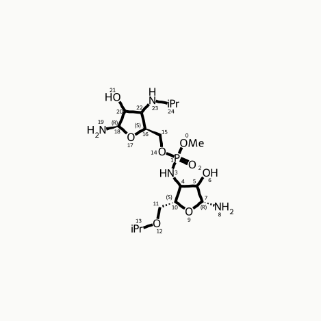 COP(=O)(NC1C(O)[C@H](N)O[C@@H]1COC(C)C)OC[C@H]1O[C@@H](N)C(O)C1NC(C)C